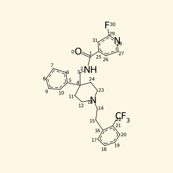 O=C(NCC1(c2ccccc2)CCN(CCc2ccccc2C(F)(F)F)CC1)c1ccnc(F)c1